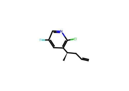 C=CC[C@@H](C)c1cc(F)cnc1Cl